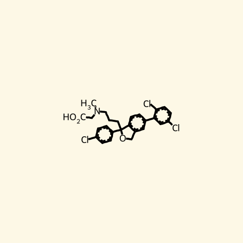 CN(CCCC1(c2ccc(Cl)cc2)OCc2cc(-c3cc(Cl)ccc3Cl)ccc21)CC(=O)O